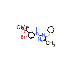 COC(=O)c1cc(Nc2ncc(C)c(SC3CCCCC3)n2)ccc1Br